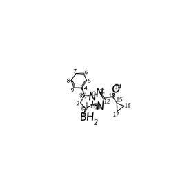 B[C@H]1C[C@@H](c2ccccc2)n2nc(C(=O)C3CC3)nc21